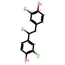 Oc1ccc(C(Br)Cc2ccc(O)c(Br)c2)cc1Cl